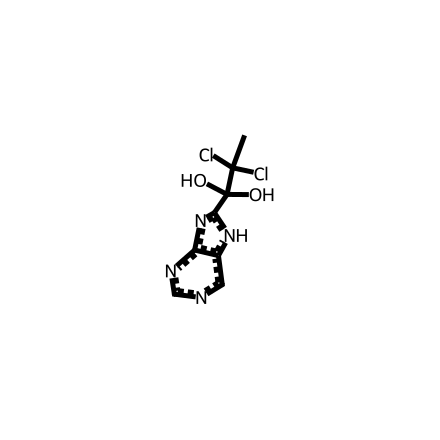 CC(Cl)(Cl)C(O)(O)c1nc2ncncc2[nH]1